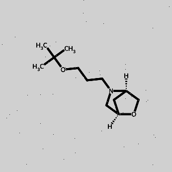 CC(C)(C)OCCCN1C[C@H]2C[C@@H]1CO2